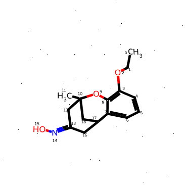 CCOc1cccc2c1OC1(C)CC(=NO)CC2C1